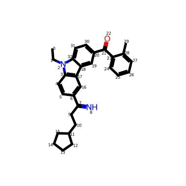 CCn1c2ccc(C(=N)CCC3CCCC3)cc2c2cc(C(=O)c3ccccc3C)ccc21